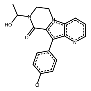 CC(O)N1CCn2c(c(-c3ccc(Cl)cc3)c3ncccc32)C1=O